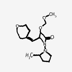 COCOC1C(=O)N(N2CCCC2C)C1C=C1CCOCC1